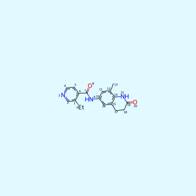 CCc1cnccc1C(=O)Nc1cc(C)c2c(c1)CCC(=O)N2